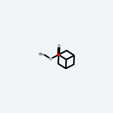 CC(C)(C)OC(=O)C1C2CCCC1C2